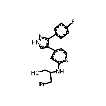 CC(C)CC(CO)Nc1cc(-c2c[nH]nc2-c2ccc(F)cc2)ccn1